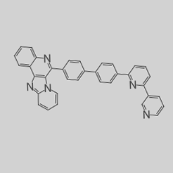 c1cncc(-c2cccc(-c3ccc(-c4ccc(-c5nc6ccccc6c6nc7ccccn7c56)cc4)cc3)n2)c1